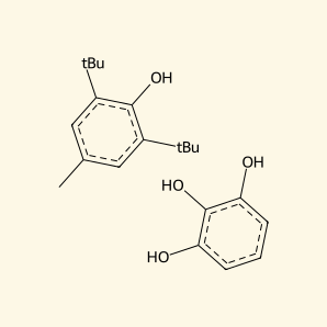 Cc1cc(C(C)(C)C)c(O)c(C(C)(C)C)c1.Oc1cccc(O)c1O